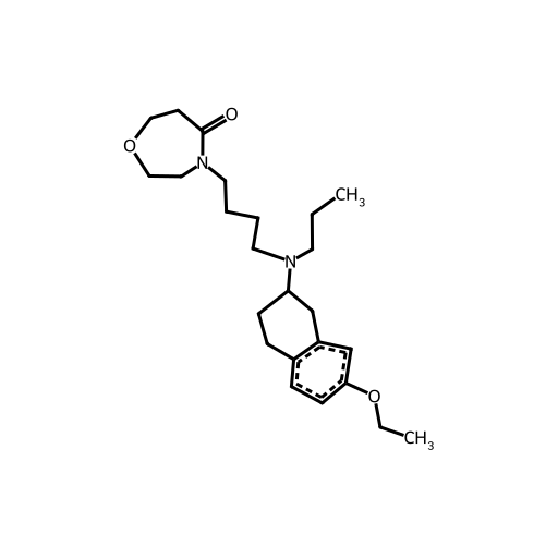 CCCN(CCCCN1CCOCCC1=O)C1CCc2ccc(OCC)cc2C1